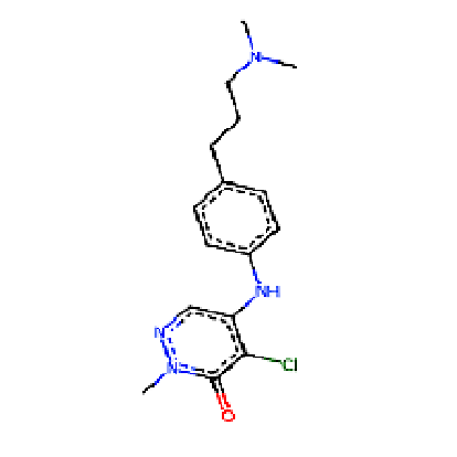 CN(C)CCCc1ccc(Nc2cnn(C)c(=O)c2Cl)cc1